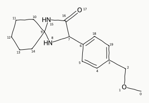 COCc1ccc(C2NC3(CCCCC3)NC2=O)cc1